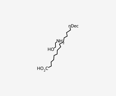 CCCCCCCCCCCCCCCCCCCCCCCC(=O)O.NCCO